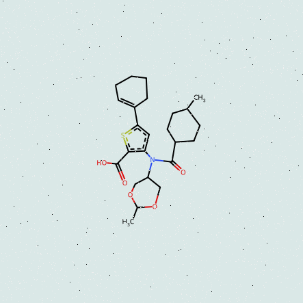 CC1CCC(C(=O)N(c2cc(C3=CCCCC3)sc2C(=O)O)C2COC(C)OC2)CC1